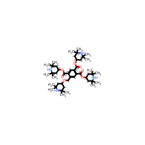 CC1(C)CC(OCc2cc(C(=O)OC3CC(C)(C)NC(C)(C)C3)c(C(=O)OC3CC(C)(C)NC(C)(C)C3)cc2C(=O)OC2CC(C)(C)NC(C)(C)C2)CC(C)(C)N1